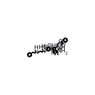 N=C(/C=C\NS(=O)(=O)c1ccccc1)c1cn([C@@H]2C[C@H](CNCCCNCCc3ccccc3)[C@@H](O)[C@H]2O)c2ncnc(N)c12